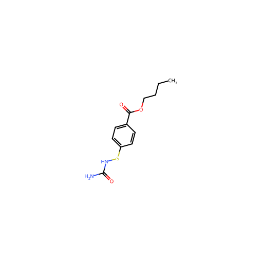 CCCCOC(=O)c1ccc(SNC(N)=O)cc1